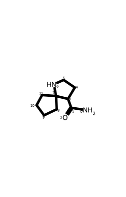 NC(=O)C1CCNC12CCCC2